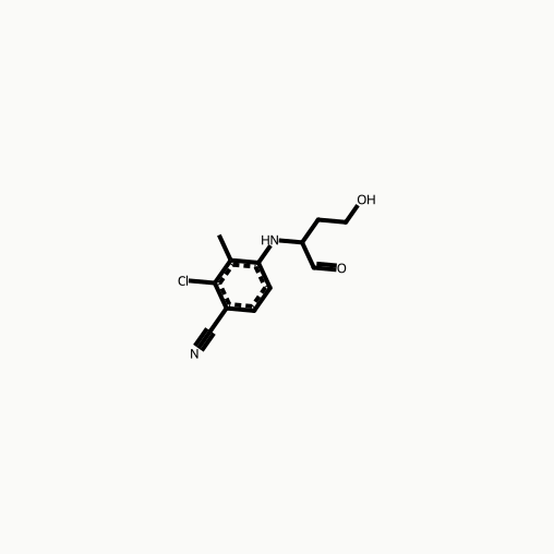 Cc1c(NC(C=O)CCO)ccc(C#N)c1Cl